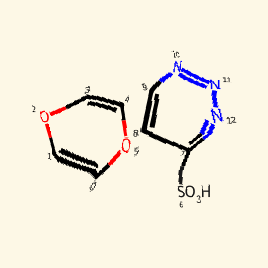 C1=COC=CO1.O=S(=O)(O)c1ccnnn1